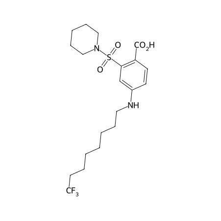 O=C(O)c1ccc(NCCCCCCCC(F)(F)F)cc1S(=O)(=O)N1CCCCC1